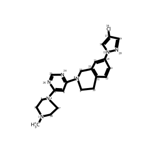 CN1CCN(c2cc(N3CCc4ccc(-n5cc(Cl)cn5)cc4C3)ncn2)CC1